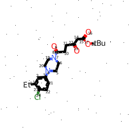 CCc1cc(N2CCN(C(=O)CCC(=O)CC(=O)OC(C)(C)C)CC2)ccc1Cl